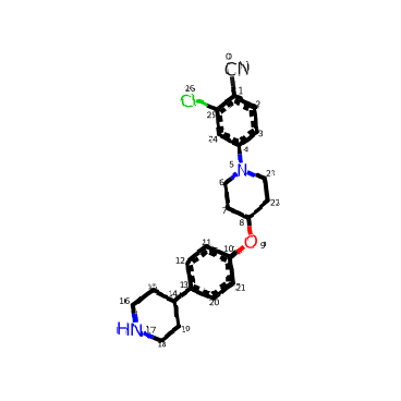 N#Cc1ccc(N2CCC(Oc3ccc(C4CCNCC4)cc3)CC2)cc1Cl